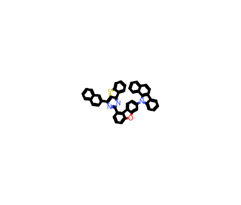 c1ccc2cc(-c3nc(-c4cccc5oc6cc(-n7c8ccccc8c8ccc9ccccc9c87)ccc6c45)nc4c3sc3ccccc34)ccc2c1